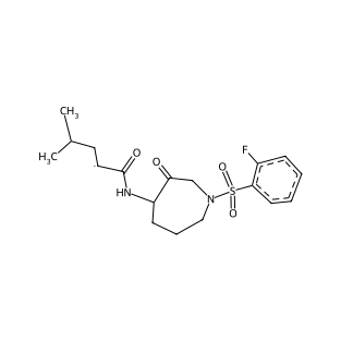 CC(C)C[CH]C(=O)NC1CCCN(S(=O)(=O)c2ccccc2F)CC1=O